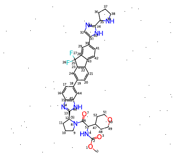 COC(=O)NC(C(=O)N1CCC[C@H]1c1nc2ccc(-c3ccc4c(c3)C(F)(F)c3cc(-c5cnc(C6CCCN6)[nH]5)ccc3-4)cc2[nH]1)C1CCOCC1